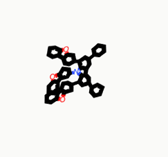 c1ccc(-c2cc(-c3ccc4c(c3)oc3ccccc34)c3c(c2)c2cc(-c4ccccc4)cc(-c4ccc5c(c4)oc4ccccc45)c2n3-c2ccc3oc4ccccc4c3c2)cc1